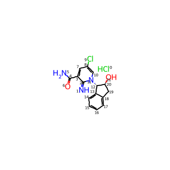 Cl.N=c1c(C(N)=O)cc(Cl)cn1[C@H]1c2ccccc2C[C@@H]1O